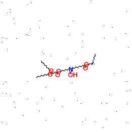 CCCCC/C=C\CCOC(=O)CCCCCCCN(CCO)CCCCCCOC(=O)CCC(OCCCCCCCC)OCCCCCCCC